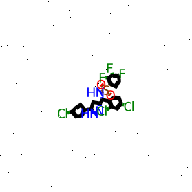 O=S(=O)(NC(C1=NNC(c2ccc(Cl)cc2)C1)c1ccc(Cl)cc1Cl)c1ccc(F)c(F)c1F